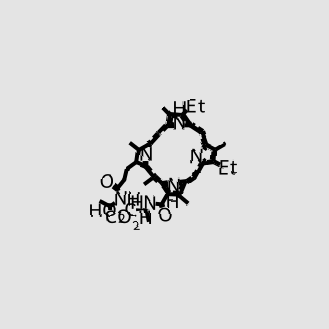 CCC1=C(C)c2cc3[nH]c(cc4nc(c(C)c5[nH]c(cc1n2)c(C)c5C(=O)N[C@@H](C)C(=O)O)C(CCC(=O)NC(C)C(=O)O)C4C)c(C)c3CC